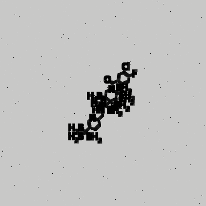 BC(B)(B)c1ccc(CNC(B)(B)C2(F)C(B)(B)CN(C(=O)c3ccc(F)c(Cl)c3)C(B)(B)C2(B)B)nc1